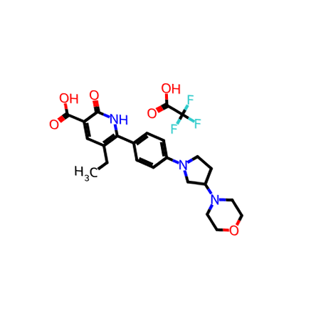 CCc1cc(C(=O)O)c(=O)[nH]c1-c1ccc(N2CCC(N3CCOCC3)C2)cc1.O=C(O)C(F)(F)F